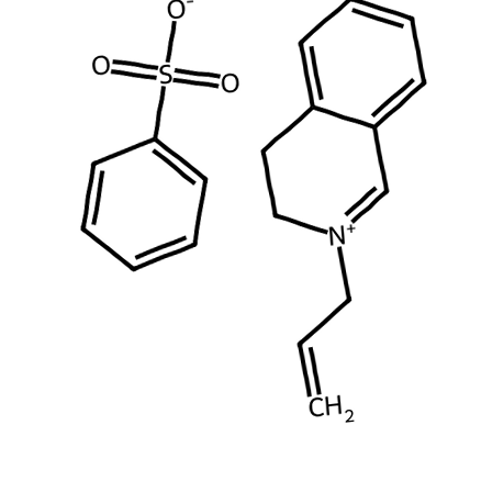 C=CC[N+]1=Cc2ccccc2CC1.O=S(=O)([O-])c1ccccc1